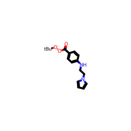 CC(C)(C)OOC(=O)c1ccc(NCCn2cccc2)cc1